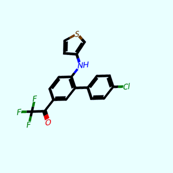 O=C(c1ccc(Nc2ccsc2)c(-c2ccc(Cl)cc2)c1)C(F)(F)F